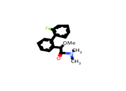 COC(C(=O)N(C)C)c1ccccc1-c1ccccc1F